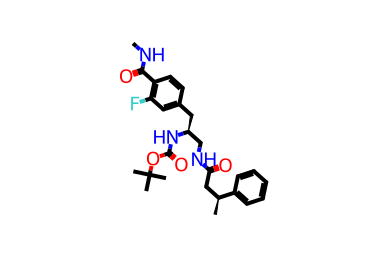 CNC(=O)c1ccc(C[C@@H](CNC(=O)C[C@H](C)c2ccccc2)NC(=O)OC(C)(C)C)cc1F